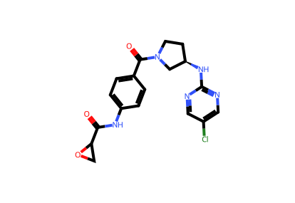 O=C(Nc1ccc(C(=O)N2CC[C@@H](Nc3ncc(Cl)cn3)C2)cc1)C1CO1